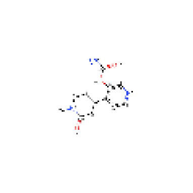 CN1CCC(c2ccncc2OC(N)=O)CC1=O